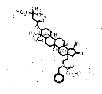 CC(C)C1=C2[C@H]3CC[C@@H]4[C@@]5(C)CC[C@H](OC(=O)CC(C)(C)C(=O)O)C(C)(C)[C@@H]5CC[C@@]4(C)[C@]3(C)CC[C@@]2(CCN(Cc2ccccc2)C(=O)C(=O)O)CC1=O